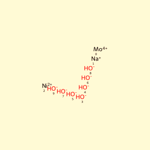 [Mo+4].[Na+].[Ni+2].[OH-].[OH-].[OH-].[OH-].[OH-].[OH-].[OH-]